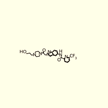 O=C(Nc1ccc2nn(CC(=O)N3CCN(CCCO)CC3)cc2c1)c1cccc(C(F)(F)F)n1